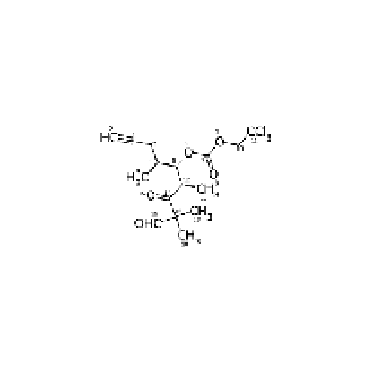 C#CC[C@H](C)[C@H](OC(=O)OCC(Cl)(Cl)Cl)[C@@H](C)C(=O)C(C)(C)C=O